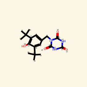 CC(C)(C)c1cc(Cn2c(=O)[nH]c(=O)[nH]c2=O)cc(C(C)(C)C)c1O